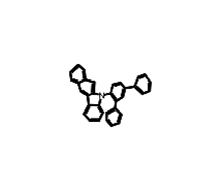 c1ccc(-c2ccc(-n3c4ccccc4c4cc5ccccc5cc43)c(-c3ccccc3)c2)cc1